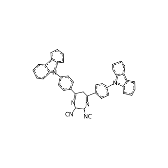 [C-]#[N+]C1N=C(c2ccc(-n3c4ccccc4c4ccccc43)cc2)CC(c2ccc(-n3c4ccccc4c4ccccc43)cc2)=NC1[N+]#[C-]